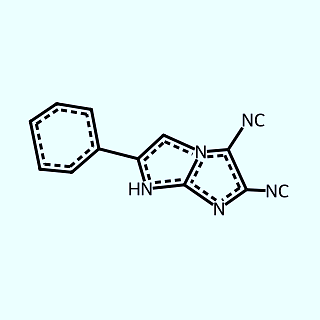 [C-]#[N+]c1nc2[nH]c(-c3ccccc3)cn2c1[N+]#[C-]